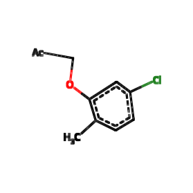 CC(=O)COc1cc(Cl)ccc1C